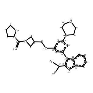 O=C([C@H]1CCCO1)N1CC(COc2cc(-n3c(C(F)F)nc4ccccc43)nc(N3CCOCC3)n2)C1